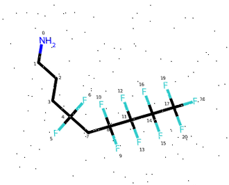 NCCCC(F)(F)CC(F)(F)C(F)(F)C(F)(F)C(F)(F)F